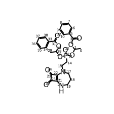 CC(OC(=O)c1ccccc1)OP(=O)(CCN1CCCNc2c1c(=O)c2=O)OC(C)OC(=O)c1ccccc1